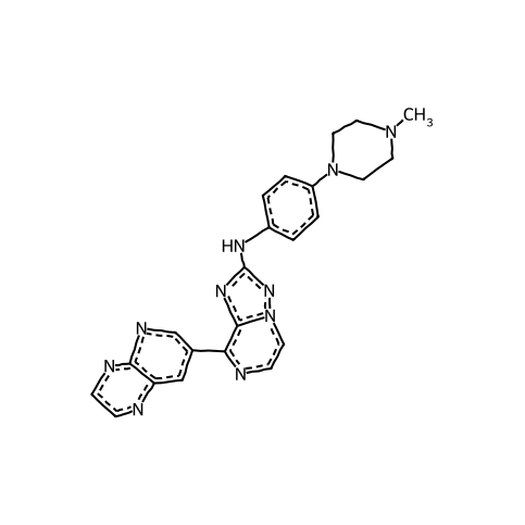 CN1CCN(c2ccc(Nc3nc4c(-c5cnc6nccnc6c5)nccn4n3)cc2)CC1